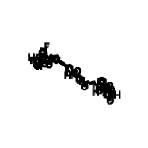 O=C1CCC(N2C(=O)c3cccc(NCCCC(=O)N4CCC(NC(=O)c5ccc(C#Cc6ccc7c(c6)C(=O)N(C(C(=O)Nc6nccs6)c6cc(F)ccc6O)C7)cn5)CC4)c3C2=O)C(=O)N1